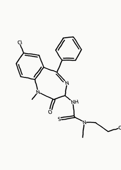 CN(CCO)C(=S)NC1N=C(c2ccccc2)c2cc(Cl)ccc2N(C)C1=O